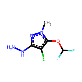 Cn1nc(NN)c(Cl)c1OC(F)F